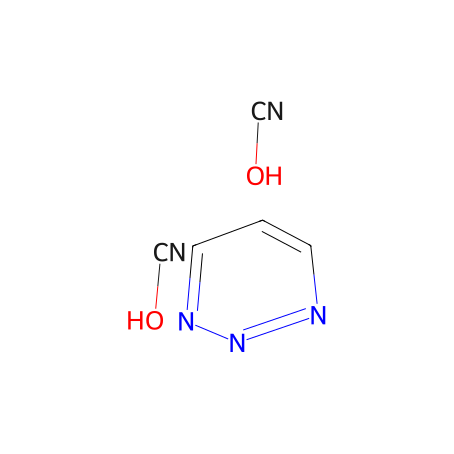 N#CO.N#CO.c1cnnnc1